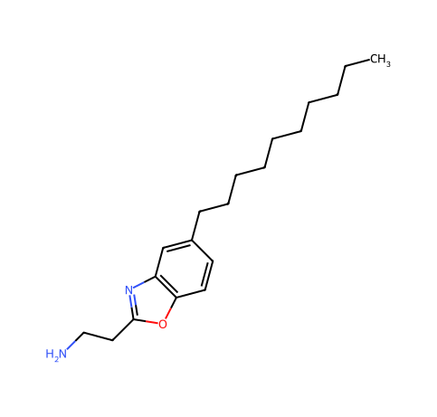 CCCCCCCCCCc1ccc2oc(CCN)nc2c1